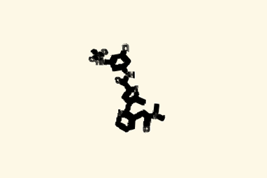 Cc1sc(C(=O)Nc2cc(Cl)cc(NS(C)(=O)=O)c2)cc1-c1ncccc1CC(=O)N(C)C